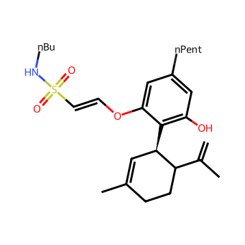 C=C(C)C1CCC(C)=C[C@H]1c1c(O)cc(CCCCC)cc1O/C=C/S(=O)(=O)NCCCC